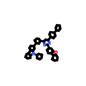 c1ccc(-c2ccc(-c3cc(-c4cccc(-c5ccc6c7ccccc7n(-c7ccccc7)c6c5)c4)nc(-c4ccc5c(c4)oc4ccccc45)n3)cc2)cc1